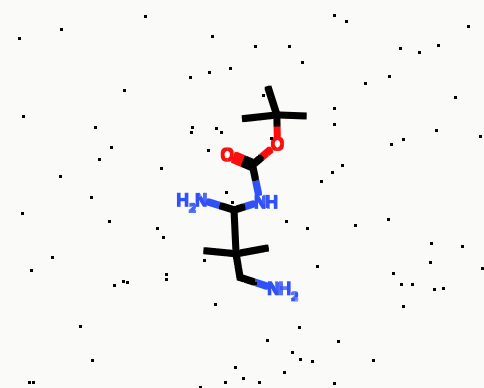 CC(C)(C)OC(=O)NC(N)C(C)(C)CN